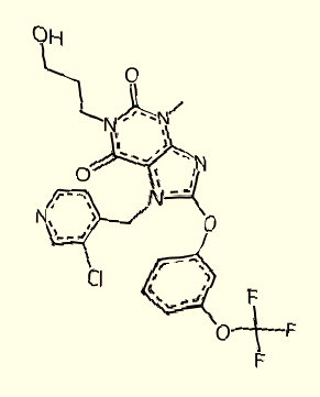 Cn1c(=O)n(CCCO)c(=O)c2c1nc(Oc1cccc(OC(F)(F)F)c1)n2Cc1ccncc1Cl